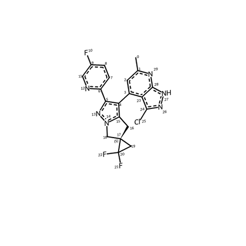 Cc1cc(-c2c(-c3ccc(F)cn3)nn3c2C[C@@]2(C3)CC2(F)F)c2c(Cl)n[nH]c2n1